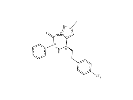 CNC(=O)[C@H](N[C@H](CCc1ccc(C(F)(F)F)cc1)c1cc(C)no1)c1ccccc1